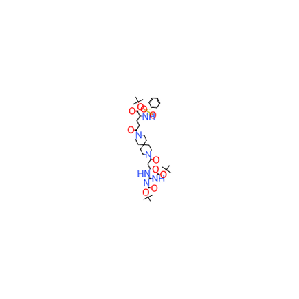 CC(C)(C)OC(=O)/N=C(/NCCC(=O)N1CCC2(CC1)CCN(C(=O)CCC(NS(=O)(=O)c1ccccc1)C(=O)OC(C)(C)C)CC2)NC(=O)OC(C)(C)C